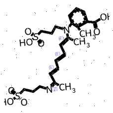 CC(/C=C/C=C/C=C(\C)N(CCCS(=O)(=O)O)c1cccc(C(=O)O)c1C)=N/CCCS(=O)(=O)O